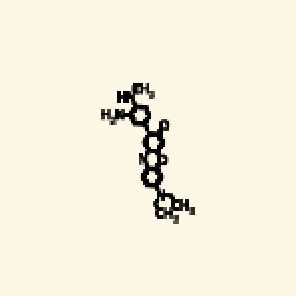 CCN(CC)c1ccc2nc3cc(-c4ccc(NC)c(N)c4)c(=O)cc-3oc2c1